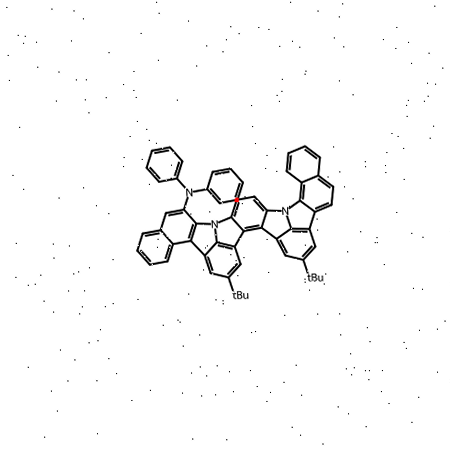 CC(C)(C)c1cc2c3c4c5cc(C(C)(C)C)cc6c7ccc8ccccc8c7n(c4ccc3n3c4c(N(c7ccccc7)c7ccccc7)cc7ccccc7c4c(c1)c23)c65